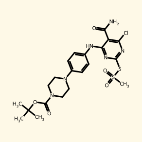 CC(C)(C)OC(=O)N1CCN(c2ccc(Nc3nc(SS(C)(=O)=O)nc(Cl)c3C(N)=O)cc2)CC1